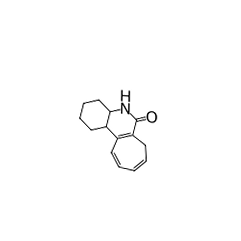 O=C1NC2CCCCC2C2=C1CC=CC=C2